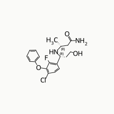 C[C@H](CC(N)=O)N[C@H](CCO)c1ccc(Cl)c(Oc2ccccc2)c1F